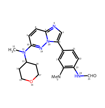 CNc1cc(-c2cnc3ccc(N(C)C4CCOCC4)nn23)ccc1NC=O